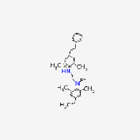 C=Cc1cc(C)c(N(CC)CCN[C@H]2C(C)=CC(C=Cc3ccccc3)=C[C@H]2C)c(C)c1